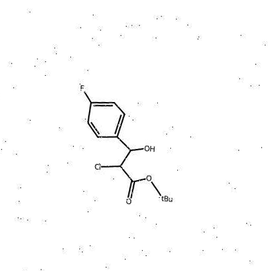 CC(C)(C)OC(=O)C(Cl)C(O)c1ccc(F)cc1